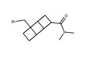 CC(C)CC12C3C4C1C1C2C3C41C(=O)N(C)C